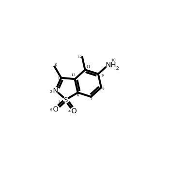 CC1=NS(=O)(=O)c2ccc(N)c(C)c21